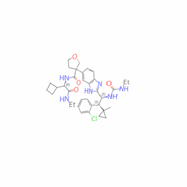 CCNC(=O)N[C@H](c1nc2ccc(C3(C(=O)N[C@@H](C(=O)NCC)C4CCC4)CCOC3)cc2[nH]1)[C@H](c1ccccc1Cl)C1(C)CC1